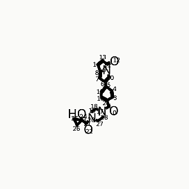 O=C(c1ccc(-c2cc3n(c2)C(=O)C=C3)cc1)N1CCN(C(=O)C2(O)CC2)CC1